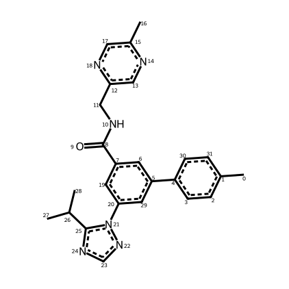 Cc1ccc(-c2cc(C(=O)NCc3cnc(C)cn3)cc(-n3ncnc3C(C)C)c2)cc1